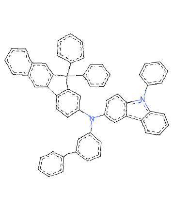 c1ccc(-c2cccc(N(c3ccc4c(c3)C(c3ccccc3)(c3ccccc3)c3cc5ccccc5cc3-4)c3ccc4c(c3)c3ccccc3n4-c3ccccc3)c2)cc1